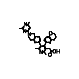 Cc1cc(N2CCc3cc(-c4c(C)nc(C)c(CC(=O)O)c4-c4ccc5c(c4)CCCO5)ccc3C2)nc(C)n1